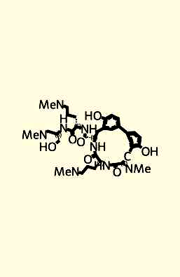 CNCCC[C@H](NC(=O)[C@@H]1Cc2cc(ccc2O)-c2ccc(O)c(c2)C[C@H](NC)C(=O)N[C@@H](CCCNC)C(=O)N1)C(=O)N[C@H](CO)CNC